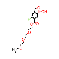 COCCOCCOCCOC(=O)c1cc2c(cc1F)COB2O